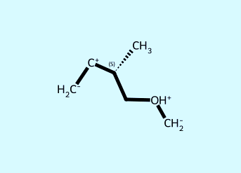 [CH2-][CH+][C@H](C)C[OH+][CH2-]